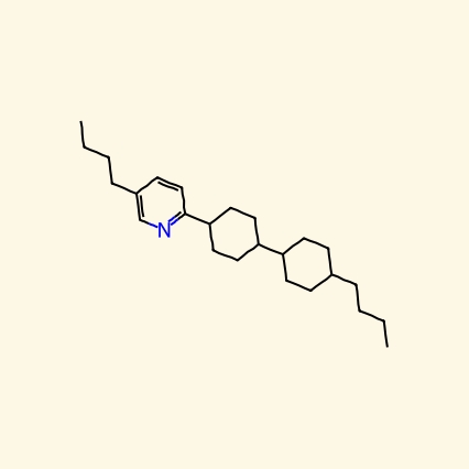 CCCCc1ccc(C2CCC(C3CCC(CCCC)CC3)CC2)nc1